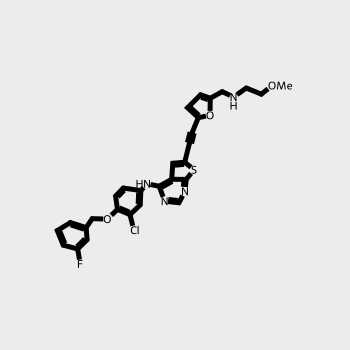 COCCNCc1ccc(C#Cc2cc3c(Nc4ccc(OCc5cccc(F)c5)c(Cl)c4)ncnc3s2)o1